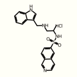 CC(CNCc1c[nH]c2ccccc12)NS(=O)(=O)c1ccc2cnccc2c1.Cl